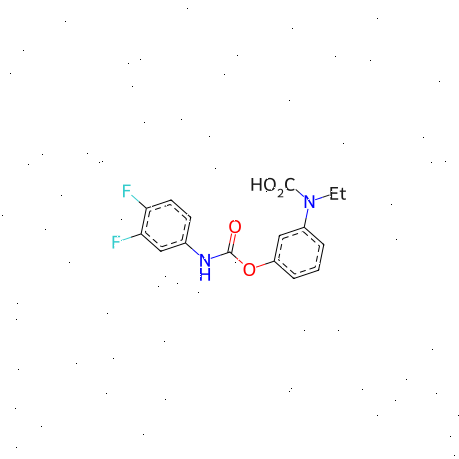 CCN(C(=O)O)c1cccc(OC(=O)Nc2ccc(F)c(F)c2)c1